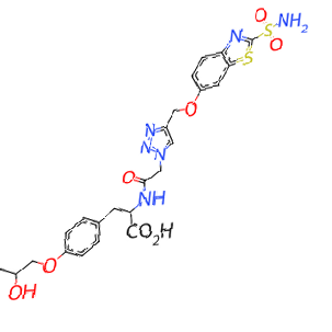 NS(=O)(=O)c1nc2ccc(OCc3cn(CC(=O)NC(Cc4ccc(OCC(O)CF)cc4)C(=O)O)nn3)cc2s1